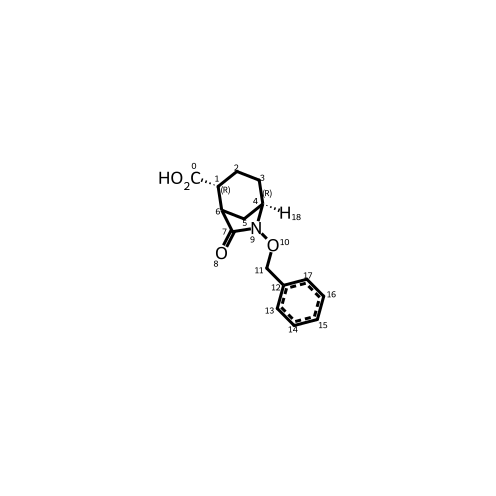 O=C(O)[C@@H]1CC[C@@H]2CC1C(=O)N2OCc1ccccc1